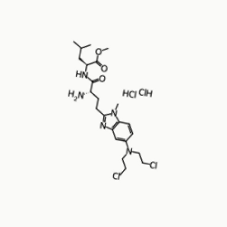 COC(=O)[C@H](CC(C)C)NC(=O)[C@@H](N)CCc1nc2cc(N(CCCl)CCCl)ccc2n1C.Cl.Cl